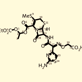 CCOC(=O)OC(C)OC(=O)C1=C(SC)CS[C@H]2C(NC(=O)C(=NOCC(=O)O)c3csc(N)n3)C(=O)N12